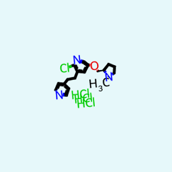 CN1CCC[C@@H]1COc1cnc(Cl)c(CCc2ccncc2)c1.Cl.Cl.Cl